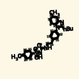 CCCCc1nc2cc(C)ccc2n1-c1ccc(CCNC(=O)NS(=O)(=O)c2ccc(C)cc2)cc1